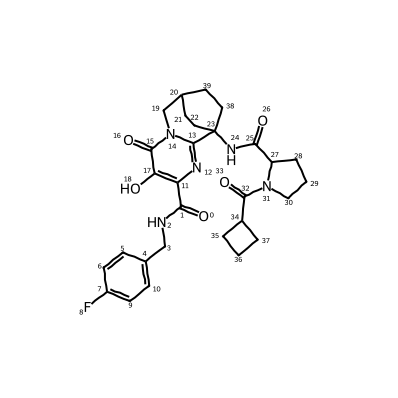 O=C(NCc1ccc(F)cc1)c1nc2n(c(=O)c1O)CC1CCC2(NC(=O)C2CCCN2C(=O)C2CCC2)CC1